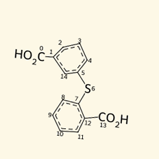 O=C(O)c1cccc(Sc2ccccc2C(=O)O)c1